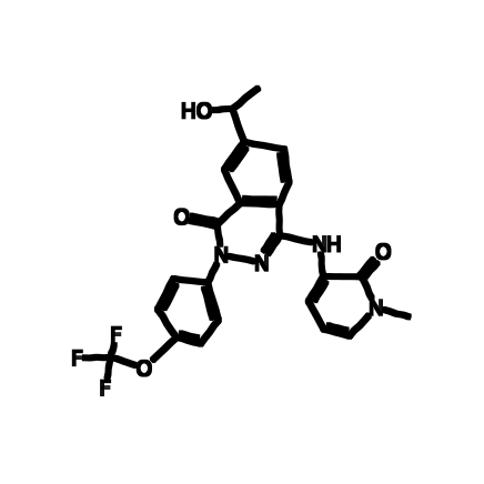 CC(O)c1ccc2c(Nc3cccn(C)c3=O)nn(-c3ccc(OC(F)(F)F)cc3)c(=O)c2c1